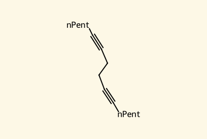 CCCCCC#CCCC#CCCCCC